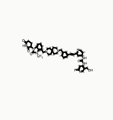 Cn1c(=O)n(C2CCC(=O)NC2=O)c2cccc(CN3CCC4(CCN(Cc5cccc(C#Cc6cc(NC(=O)Nc7cc(F)ncc7CO)ccn6)c5)CC4)CC3)c21